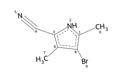 Cc1[nH]c(C#N)c(C)c1Br